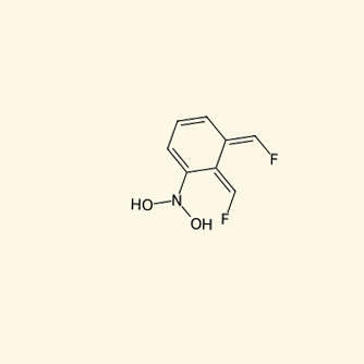 ON(O)c1cccc(=CF)c1=CF